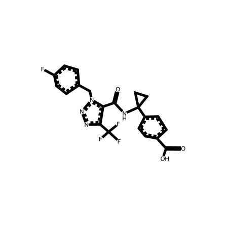 O=C(O)c1ccc(C2(NC(=O)c3c(C(F)(F)F)nnn3Cc3ccc(F)cc3)CC2)cc1